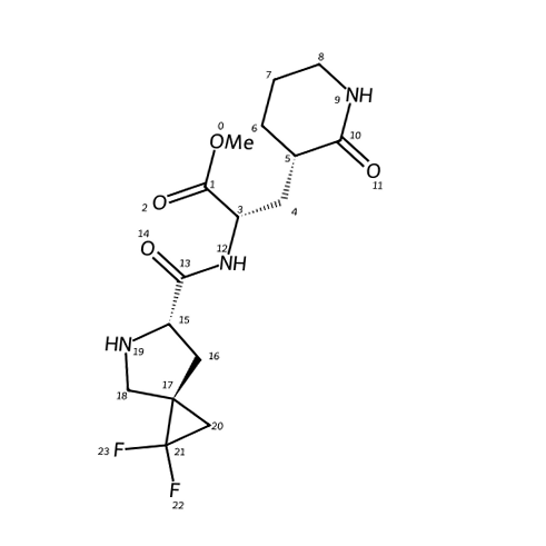 COC(=O)[C@H](C[C@@H]1CCCNC1=O)NC(=O)[C@@H]1C[C@@]2(CN1)CC2(F)F